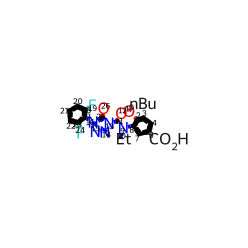 CCCCOc1ccc(C(=O)O)cc1N(CC)C(=O)n1nnn(-c2c(F)cccc2F)c1=O